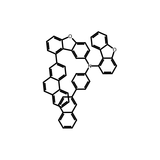 c1ccc2cc(-c3ccc(N(c4ccc5oc6cccc(-c7ccc8c(ccc9ccccc98)c7)c6c5c4)c4cccc5oc6ccccc6c45)cc3)ccc2c1